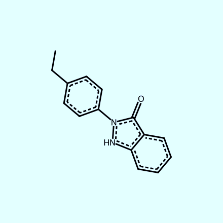 CCc1ccc(-n2[nH]c3ccccc3c2=O)cc1